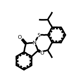 CC(C)c1cccc(C(C)C)c1SN1C(=O)c2ccccc2C1=O